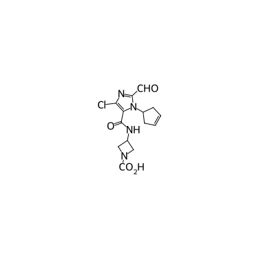 O=Cc1nc(Cl)c(C(=O)NC2CN(C(=O)O)C2)n1C1CC=CC1